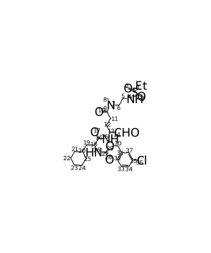 CCS(=O)(=O)NCCN(C)C(=O)CCC(C=O)NC(=O)C(CC1CCCCC1)NC(=O)OCc1cccc(Cl)c1